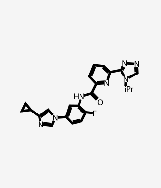 CC(C)n1cnnc1-c1cccc(C(=O)Nc2cc(-n3cnc(C4CC4)c3)ccc2F)n1